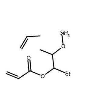 C=CC.C=CC(=O)OC(CC)C(C)O[SiH3]